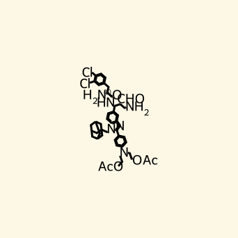 CC(=O)OCCN(CCOC(C)=O)c1ccc(-c2nc3cc(C(NC(=O)[C@@H](N)Cc4ccc(Cl)c(Cl)c4)C(C=O)CN)ccc3n2CC23CC4CC(CC(C4)C2)C3)cc1